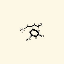 CCCCCCl.Cc1cccc(Cl)c1